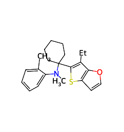 CCc1c(C2(N(C)c3ccccc3C)CCCCC2)sc2ccoc12